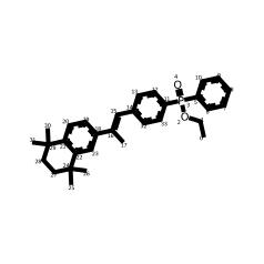 CCOP(=O)(c1ccccc1)c1ccc(C=C(C)c2ccc3c(c2)C(C)(C)CCC3(C)C)cc1